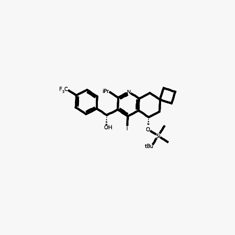 CC(C)c1nc2c(c(I)c1[C@H](O)c1ccc(C(F)(F)F)cc1)[C@@H](O[Si](C)(C)C(C)(C)C)CC1(CCC1)C2